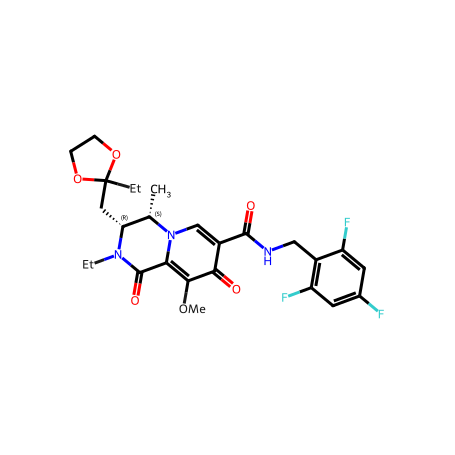 CCN1C(=O)c2c(OC)c(=O)c(C(=O)NCc3c(F)cc(F)cc3F)cn2[C@@H](C)[C@H]1CC1(CC)OCCO1